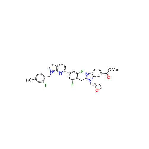 COC(=O)c1ccc2nc(Cc3c(F)cc(-c4ccc5ccn(Cc6ccc(C#N)cc6F)c5n4)cc3F)n(C[C@@H]3CCO3)c2c1